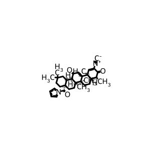 [C-]#[N+]C1=C[C@]2(C)C3=CC(=O)[C@@H]4[C@@H]5CC(C)(C)CC[C@]5(C(=O)n5cccc5)CC[C@@]4(C)[C@]3(C)CC[C@H]2[C@H](C)C1=O